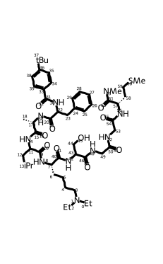 CCN(CC)CCCC[C@H](NC(=O)C(CC(C)C)NC(=O)[C@H](C)NC(=O)C(Cc1ccccc1)NC(=O)c1ccc(C(C)(C)C)cc1)C(=O)NC(CO)C(=O)NCC(=O)NCC(=O)N[C@@H](CCSC)C(=O)NC